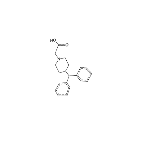 O=C(O)CN1CCC(C(c2ccccc2)c2ccccc2)CC1